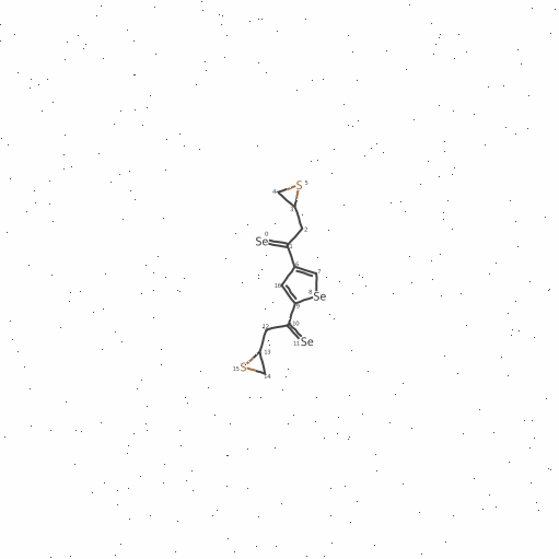 [Se]=C(CC1CS1)c1c[se]c(C(=[Se])CC2CS2)c1